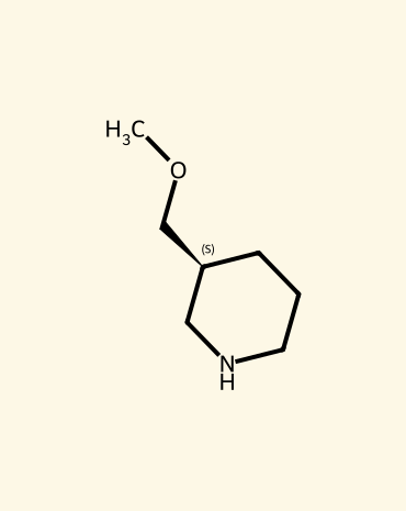 COC[C@H]1CCCNC1